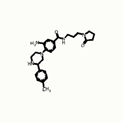 Cc1ccc(C2CN(c3ccc(C(=O)NCCCN4CCCC4=O)cc3N)CCN2)cc1